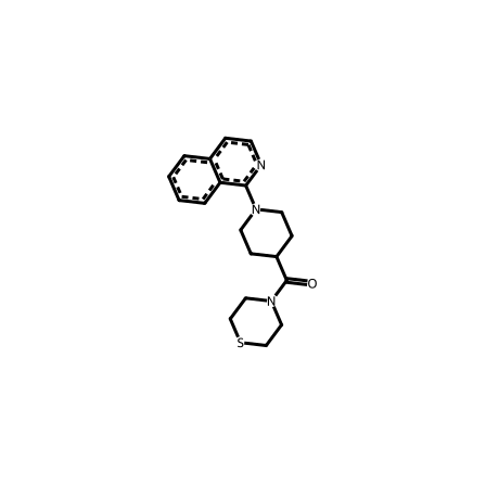 O=C(C1CCN(c2nccc3ccccc23)CC1)N1CCSCC1